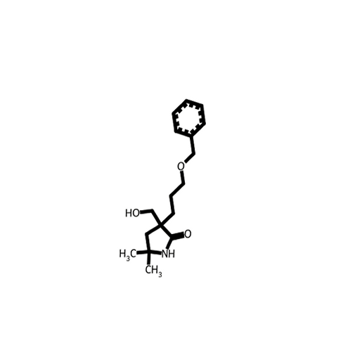 CC1(C)CC(CO)(CCCOCc2ccccc2)C(=O)N1